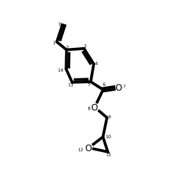 C=Cc1ccc(C(=O)OCC2CO2)cc1